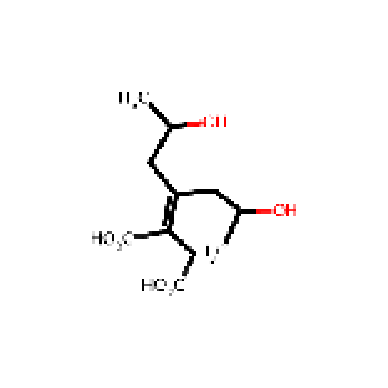 CC(O)CC(CC(C)O)=C(CC(=O)O)C(=O)O